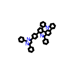 c1ccc(-c2cc(-c3ccc(-c4cccc5c4nc(-c4ccccc4)c4ccc6c7ccccc7n(-c7ccccc7)c6c45)cc3)nc(-c3ccccc3)n2)cc1